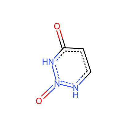 O=c1cc[nH][n+](=O)[nH]1